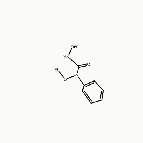 CCCNC(=O)N(OCC)c1ccccc1